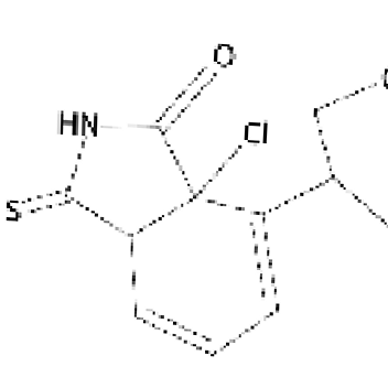 CC(CCl)C1=CC=CC2C(=S)NC(=O)C12Cl